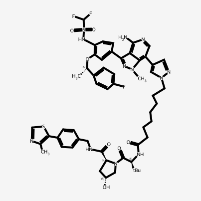 Cc1ncsc1-c1ccc(CNC(=O)[C@@H]2C[C@@H](O)CN2C(=O)[C@@H](NC(=O)CCCCCCCn2cc(-c3cnc(N)c4c(-c5ccc(NS(=O)(=O)C(F)F)c(O[C@@H](C)c6ccc(F)cc6)c5)nn(C)c34)cn2)C(C)(C)C)cc1